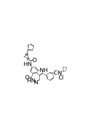 O=C1NN=Cc2c(-c3cccc(CN(Cl)C4CCC4)c3)[nH]c3cc(NC(=O)[C@@H]4C[C@H]4c4ccccc4)cc1c23